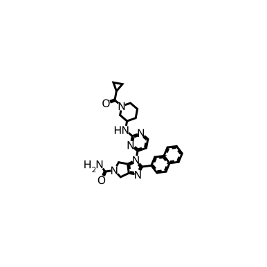 NC(=O)N1Cc2nc(-c3ccc4ccccc4c3)n(-c3ccnc(NC4CCCN(C(=O)C5CC5)C4)n3)c2C1